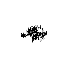 CCS(=O)(=O)Nc1ccc(Oc2ccc(F)cc2F)c(-c2cn(C)c3c(=O)[nH]c(C(=O)NCCCn4ccnc4)cc23)c1